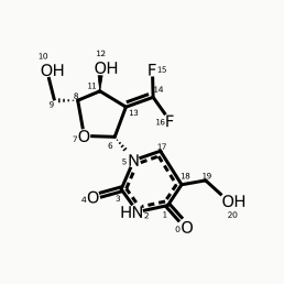 O=c1[nH]c(=O)n([C@@H]2O[C@H](CO)[C@@H](O)C2=C(F)F)cc1CO